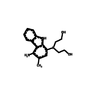 Cc1cc(N(CCO)CCO)c2[nH]c3ccccc3c2c1N